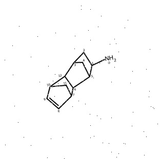 NC1CC2CC1C1C3C=CC(C3)C21